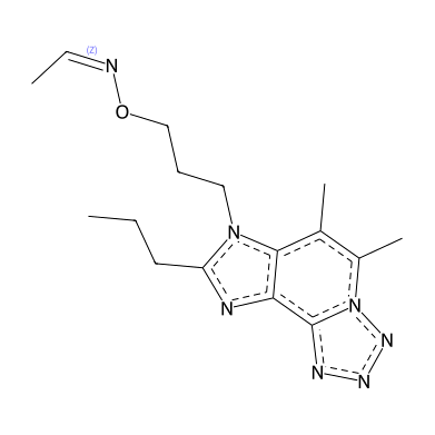 C/C=N\OCCCn1c(CCC)nc2c1c(C)c(C)n1nnnc21